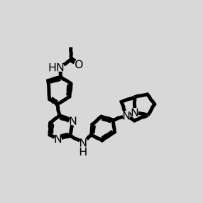 CC(=O)Nc1ccc(-c2ccnc(Nc3ccc(N4CC5CCC(C4)N5C)cc3)n2)cc1